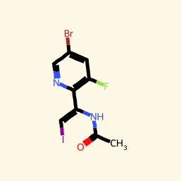 CC(=O)NC(=CI)c1ncc(Br)cc1F